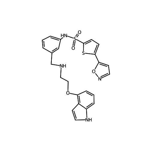 O=S(=O)(Nc1cccc(CNCCOc2cccc3[nH]ccc23)c1)c1ccc(-c2ccno2)s1